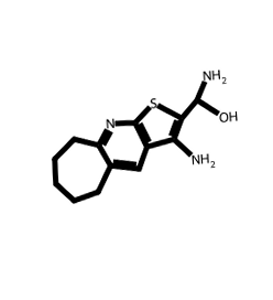 Nc1c(C(N)O)sc2nc3c(cc12)CCCCC3